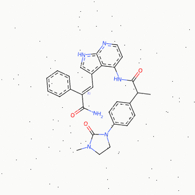 CC(C(=O)Nc1ccnc2[nH]cc(/C=C(/C(N)=O)c3ccccc3)c12)c1ccc(N2CCN(C)C2=O)cc1